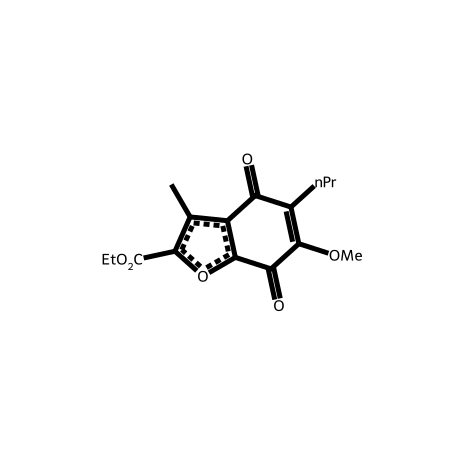 CCCC1=C(OC)C(=O)c2oc(C(=O)OCC)c(C)c2C1=O